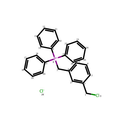 ClCc1cccc(C[P+](c2ccccc2)(c2ccccc2)c2ccccc2)c1.[Cl-]